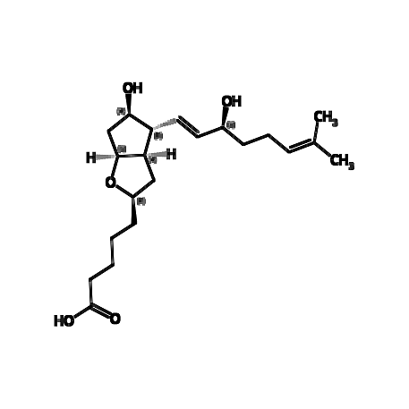 CC(C)=CCC[C@H](O)C=C[C@@H]1[C@H]2C[C@@H](CCCCC(=O)O)O[C@H]2C[C@H]1O